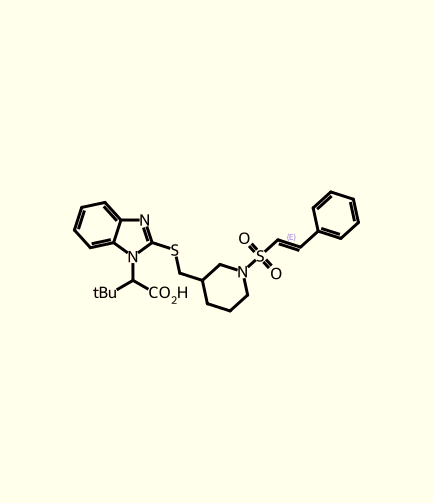 CC(C)(C)C(C(=O)O)n1c(SCC2CCCN(S(=O)(=O)/C=C/c3ccccc3)C2)nc2ccccc21